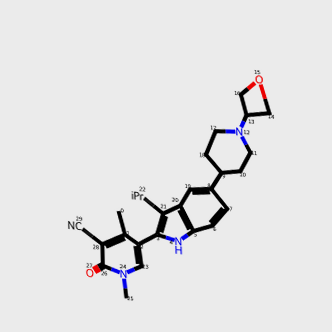 Cc1c(-c2[nH]c3ccc(C4CCN(C5COC5)CC4)cc3c2C(C)C)cn(C)c(=O)c1C#N